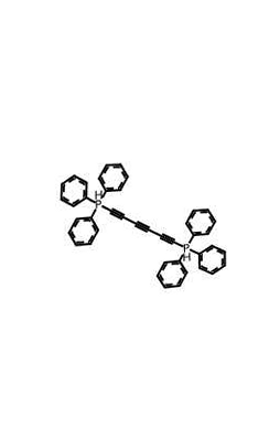 C(#CC#C[PH](c1ccccc1)(c1ccccc1)c1ccccc1)C#C[PH](c1ccccc1)(c1ccccc1)c1ccccc1